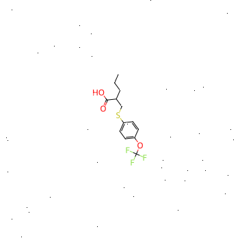 CCCC(CSc1ccc(OC(F)(F)F)cc1)C(=O)O